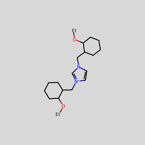 CCOC1CCCCC1Cn1cc[n+](CC2CCCCC2OCC)c1